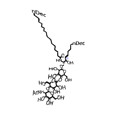 CCCCCCCCCCCCC/C=C/[C@@H](O)[C@H](CO[C@@H]1OC(CO)[C@@H](O[C@@H]2OC(CO)[C@H](O[C@@H]3OC(CO)[C@H](O)[C@H](O)C3NC(C)=O)[C@H](O)C2O)[C@H](O)C1O)NC(=O)CCCCCCCCCCCCCCCCCCCCCCCCC